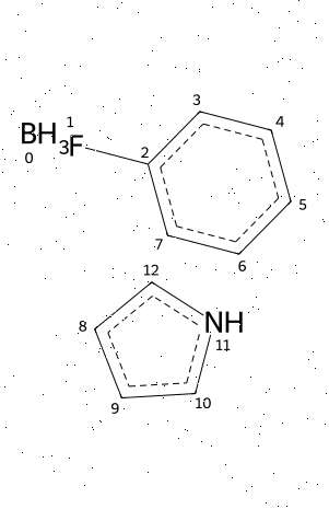 B.Fc1ccccc1.c1cc[nH]c1